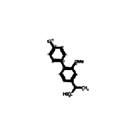 COc1cc(C(C)C(=O)O)ccc1-c1ccc(Cl)cc1